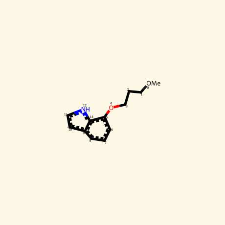 COCCCOc1cccc2[c]c[nH]c12